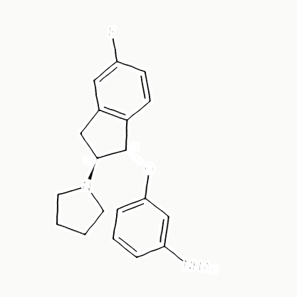 CC(=O)Nc1cccc(O[C@H]2c3ccc(F)cc3C[C@@H]2N2CCCC2)c1